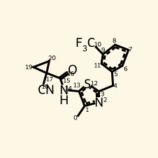 Cc1nc(Cc2cccc(C(F)(F)F)c2)sc1NC(=O)C1(C#N)CC1